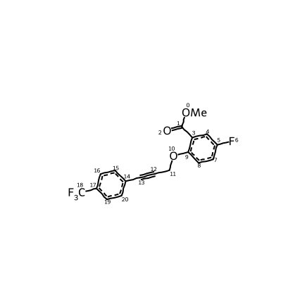 COC(=O)c1cc(F)ccc1OCC#Cc1ccc(C(F)(F)F)cc1